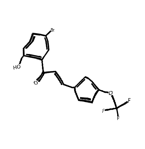 O=C(C=Cc1ccc(OC(F)(F)F)cc1)c1cc(Br)ccc1O